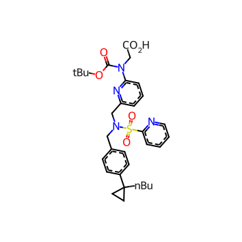 CCCCC1(c2ccc(CN(Cc3cccc(N(CC(=O)O)C(=O)OC(C)(C)C)n3)S(=O)(=O)c3ccccn3)cc2)CC1